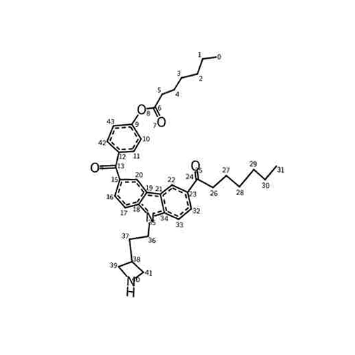 CCCCCCC(=O)Oc1ccc(C(=O)c2ccc3c(c2)c2cc(C(=O)CCCCCC)ccc2n3CCC2CNC2)cc1